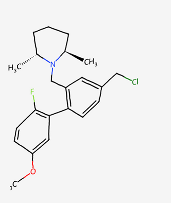 COc1ccc(F)c(-c2ccc(CCl)cc2CN2[C@H](C)CCC[C@H]2C)c1